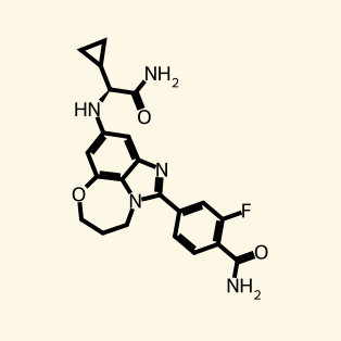 NC(=O)c1ccc(-c2nc3cc(N[C@H](C(N)=O)C4CC4)cc4c3n2CCCO4)cc1F